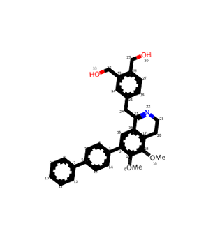 COc1c(-c2ccc(-c3ccccc3)cc2)cc2c(c1OC)CCN=C2Cc1ccc(CO)c(CO)c1